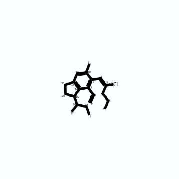 C=Cc1c(/C=C(/Cl)CCC)c(C)cc2c1C(C(C)CC)CC2